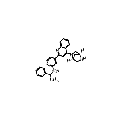 CC(Nc1cc(-c2cc(N3C[C@@H]4C[C@H]3CN4)c3ccccc3n2)ccn1)c1ccccc1